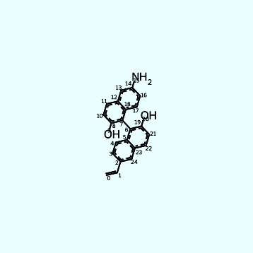 C=Cc1ccc2c(-c3c(O)ccc4cc(N)ccc34)c(O)ccc2c1